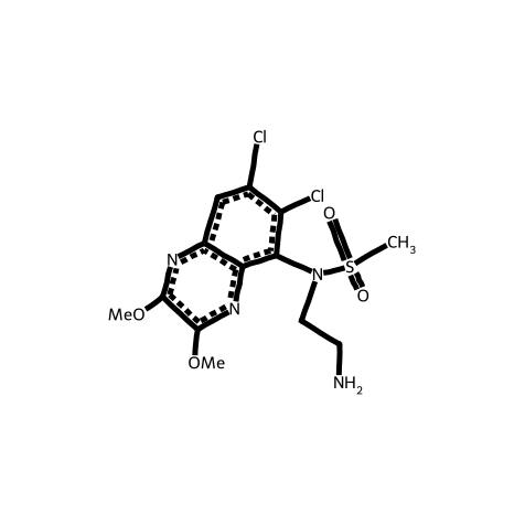 COc1nc2cc(Cl)c(Cl)c(N(CCN)S(C)(=O)=O)c2nc1OC